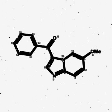 COc1ccc2ncc(C(=O)c3ccccc3)n2c1